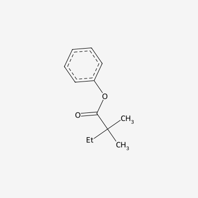 CCC(C)(C)C(=O)Oc1ccccc1